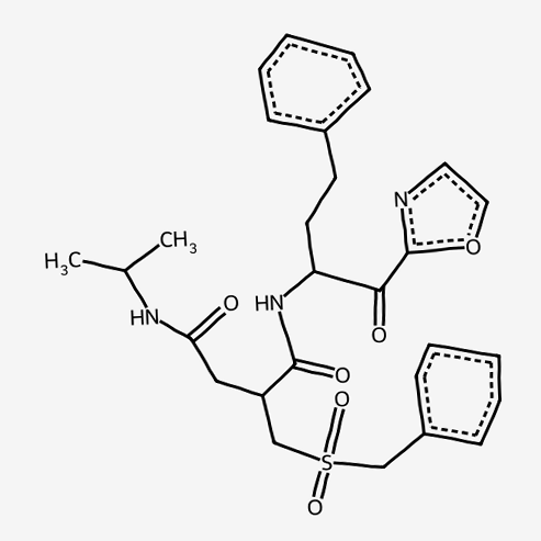 CC(C)NC(=O)CC(CS(=O)(=O)Cc1ccccc1)C(=O)NC(CCc1ccccc1)C(=O)c1ncco1